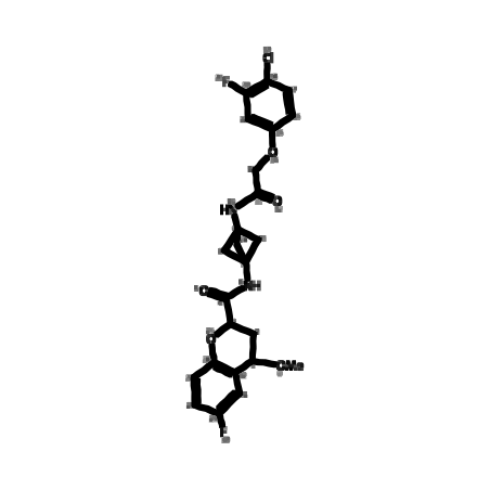 COC1CC(C(=O)NC23CC(NC(=O)COc4ccc(Cl)c(F)c4)(C2)C3)Oc2ccc(F)cc21